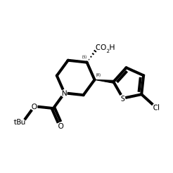 CC(C)(C)OC(=O)N1CC[C@H](C(=O)O)[C@@H](c2ccc(Cl)s2)C1